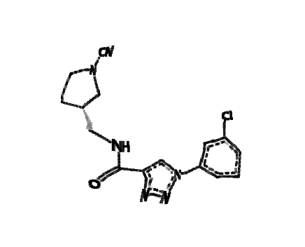 N#CN1CC[C@@H](CNC(=O)c2cn(-c3cccc(Cl)c3)nn2)C1